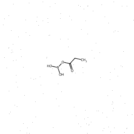 CCC(=O)OB(O)O